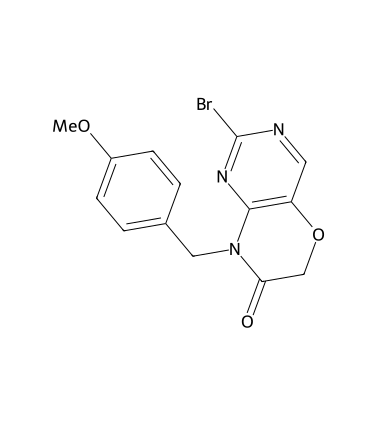 COc1ccc(CN2C(=O)COc3cnc(Br)nc32)cc1